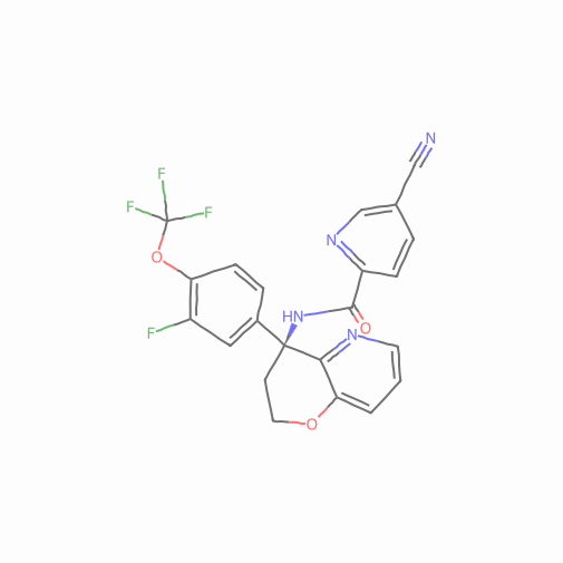 N#Cc1ccc(C(=O)N[C@]2(c3ccc(OC(F)(F)F)c(F)c3)CCOc3cccnc32)nc1